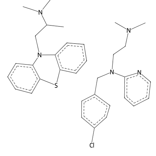 CC(CN1c2ccccc2Sc2ccccc21)N(C)C.CN(C)CCN(Cc1ccc(Cl)cc1)c1ccccn1